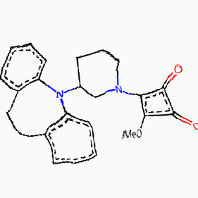 COc1c(N2CCCC(N3c4ccccc4CCc4ccccc43)C2)c(=O)c1=O